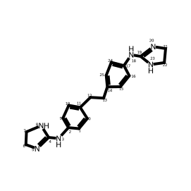 c1cc(NC2=NCCN2)ccc1CCc1ccc(NC2=NCCN2)cc1